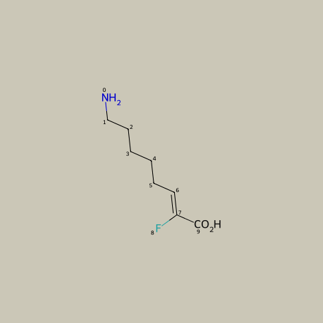 NCCCCCC=C(F)C(=O)O